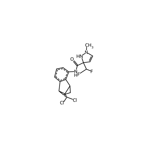 CN1C=CC(C(=O)Nc2cccc3c2C2CCC3C2=C(Cl)Cl)(C(F)F)N1